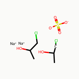 CC(O)CCl.CC(O)CCl.O=S(=O)([O-])[O-].[Na+].[Na+]